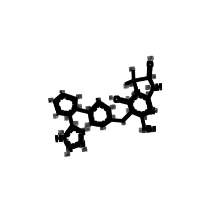 CCCCc1nc2n(c(=O)c1Cc1ccc(-c3ccccc3-c3nnn[nH]3)cc1)C(C)(C)C(=O)N2